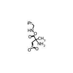 CC(C)CNOC(=O)C(C)(N)C=S(=O)=O